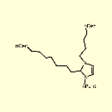 CCCCCCCCCCCCCCCCCC1N(CCCCC)C=CN1CCCCCCCCCCCCCC